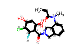 C=CC(=O)N(C)c1cccc2c1CN(C(=O)c1c(O)cc(O)c(Cl)c1F)C2